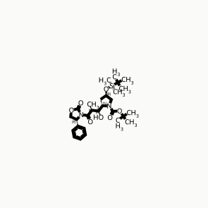 C[C@@H](C(=O)N1C(=O)OC[C@H]1c1ccccc1)[C@@H](O)[C@@H]1C[C@@H](O[Si](C)(C)C(C)(C)C)CN1C(=O)OC(C)(C)C